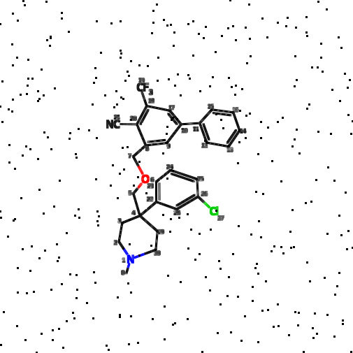 CN1CCC(COCc2cc(-c3ccccc3)cc(C(F)(F)F)c2C#N)(c2cccc(Cl)c2)CC1